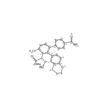 COC(=O)C(OC(C)(C)C)c1c(C(F)(F)F)ccc(-c2ccc(C(N)=O)cc2)c1-c1ccc2c(c1)CCCO2